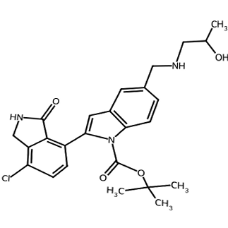 CC(O)CNCc1ccc2c(c1)cc(-c1ccc(Cl)c3c1C(=O)NC3)n2C(=O)OC(C)(C)C